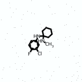 CNC1(Nc2ccc(F)c(Cl)c2)C[CH]CCC1